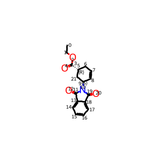 CCOC(=O)[C@@H]1CC=C[C@@H](N2C(=O)c3ccccc3C2=O)C1